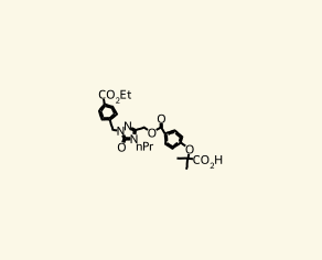 CCCn1c(COC(=O)c2ccc(OC(C)(C)C(=O)O)cc2)nn(Cc2ccc(C(=O)OCC)cc2)c1=O